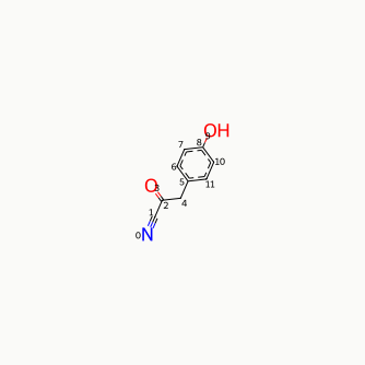 N#CC(=O)Cc1ccc(O)cc1